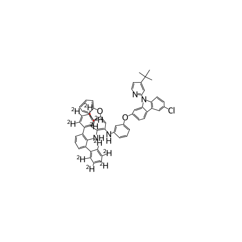 [2H]c1c([2H])c([2H])c(-c2cccc(-c3c([2H])c([2H])c([2H])c([2H])c3[2H])c2Nc2cc3c(cc2Nc2cccc(Oc4ccc5c6cc(Cl)ccc6n(-c6cc(C(C)(C)C)ccn6)c5c4)c2)oc2ccccc23)c([2H])c1[2H]